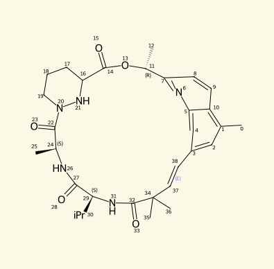 Cc1cc2cc3nc(ccc13)[C@@H](C)OC(=O)C1CCCN(N1)C(=O)[C@H](C)NC(=O)[C@H](C(C)C)NC(=O)C(C)(C)/C=C/2